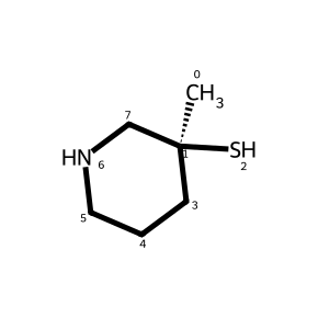 C[C@]1(S)CCCNC1